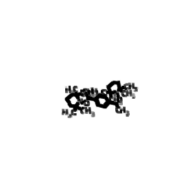 CC(ON1C(C)(C)CCCC1(C)C)c1ccc(C(C)ON2C(C)(C)CCCC2(C)C)cc1